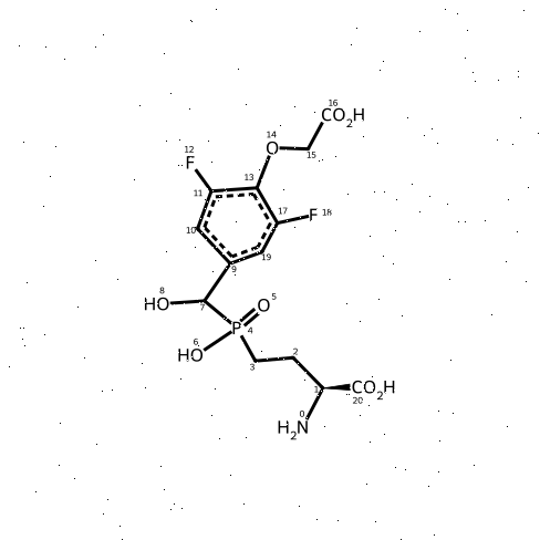 N[C@@H](CCP(=O)(O)C(O)c1cc(F)c(OCC(=O)O)c(F)c1)C(=O)O